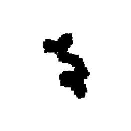 c1ccc(-c2nc(-c3ccncc3)nc(-c3cccc(-c4ccc5ccc(-c6cccc(-c7nc(-c8ccccc8)nc(-c8ccncc8)n7)c6)cc5c4)c3)n2)cc1